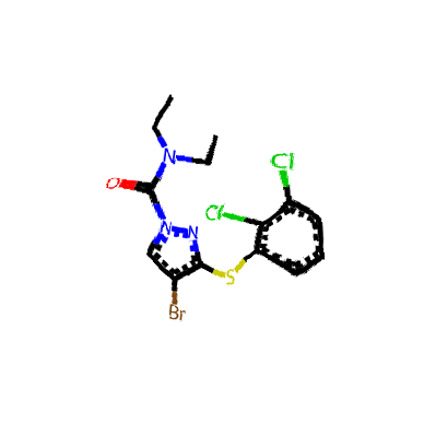 CCN(CC)C(=O)n1cc(Br)c(Sc2cccc(Cl)c2Cl)n1